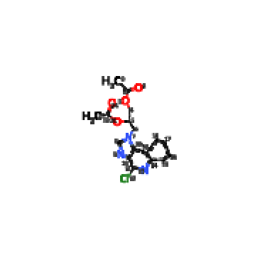 CC(=O)OCC(Cn1cnc2c(Cl)nc3ccccc3c21)OC(C)=O